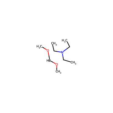 CCN(CC)CC.COBOC